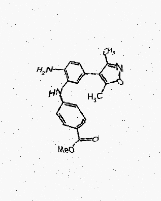 COC(=O)c1ccc(Nc2cc(-c3c(C)noc3C)ccc2N)cc1